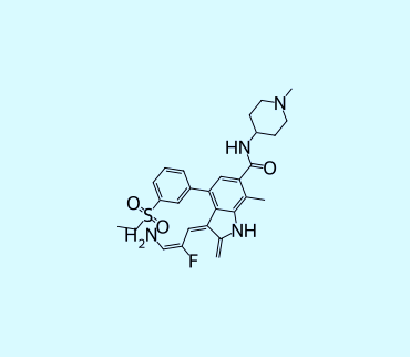 C=c1[nH]c2c(C)c(C(=O)NC3CCN(C)CC3)cc(-c3cccc(S(=O)(=O)CC)c3)c2/c1=C/C(F)=C\N